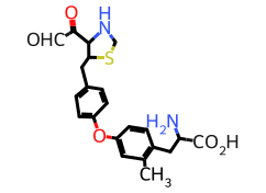 Cc1cc(Oc2ccc(CC3SCNC3C(=O)C=O)cc2)ccc1CC(N)C(=O)O